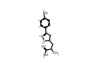 CC(CC1CC(c2ccc(N=O)cc2)=NO1)C(=O)N=O